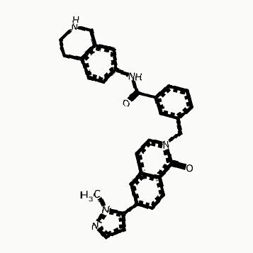 Cn1nccc1-c1ccc2c(=O)n(Cc3cccc(C(=O)Nc4ccc5c(c4)CNCC5)c3)ccc2c1